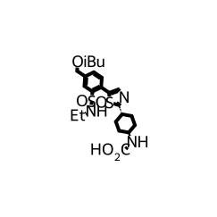 CCNS(=O)(=O)c1cc(COCC(C)C)ccc1-c1cnc([C@H]2CC[C@H](NC(=O)O)CC2)s1